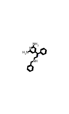 Nc1cc(/C(=C\CNCc2ccccc2)c2ccccc2)cc(N)n1